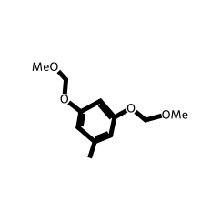 COCOc1cc(C)cc(OCOC)c1